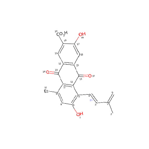 C=C(C)/C=C/c1c(O)cc(CC)c2c1C(=O)c1cc(O)c(C(=O)O)cc1C2=O